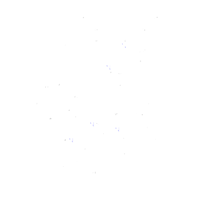 c1ccc(-c2cc(-n3c4ccccc4c4cc5oc6c(-c7ccccc7)nc(-c7ccccc7)nc6c5cc43)nc(-c3ccccc3)n2)cc1